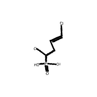 O=P(O)(O)C(Cl)CC=CCl